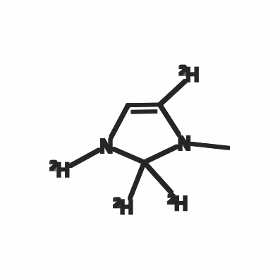 [2H]C1=CN([2H])C([2H])([2H])N1C